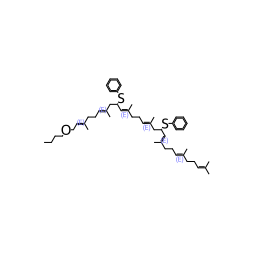 CCCCOC/C=C(\C)CC/C=C(\C)CC(/C=C(\C)CC/C=C(\C)CC(/C=C(\C)CC/C=C(\C)CCC=C(C)C)Sc1ccccc1)Sc1ccccc1